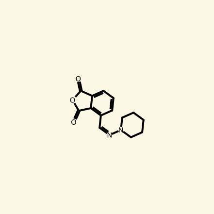 O=C1OC(=O)c2c(/C=N\N3CCCCC3)cccc21